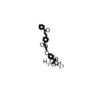 CC(C)(C)C(=O)c1ccc(OCCOC(=O)c2ccc(/C=C/C(=O)c3ccccc3)cc2)cc1